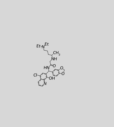 CCN(CC)CCCC(C)NCC(=O)NC(c1ccc2c(c1)OCO2)c1cc(Cl)c2cccnc2c1O